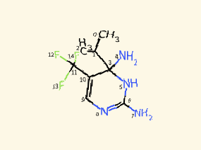 CC(C)C1(N)NC(N)=NC=C1C(F)(F)F